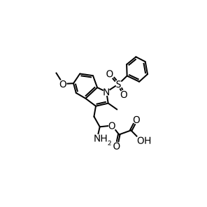 COc1ccc2c(c1)c(CC(N)OC(=O)C(=O)O)c(C)n2S(=O)(=O)c1ccccc1